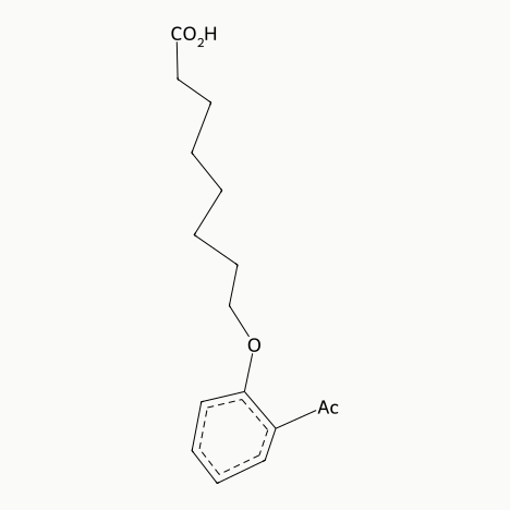 CC(=O)c1ccccc1OCCCCCCCC(=O)O